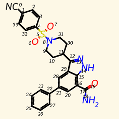 N#Cc1ccc(S(=O)(=O)N2CCC(c3n[nH]c4c(C(N)=O)cc(-c5ccccc5)cc34)CC2)cc1